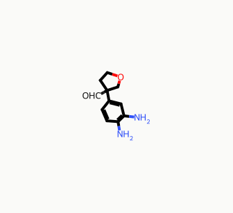 Nc1ccc(C2(C=O)CCOC2)cc1N